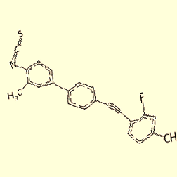 Cc1ccc(C#Cc2ccc(-c3ccc(N=C=S)c(C)c3)cc2)c(F)c1